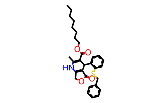 CCCCCCCCOC(=O)C1=C(C)NC2=C(C(=O)OC2)C1c1ccccc1SCc1ccccc1